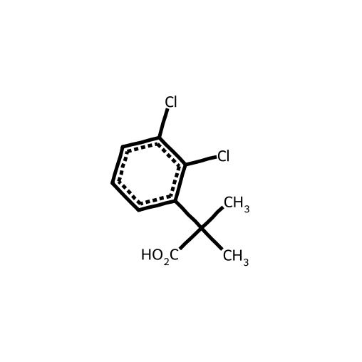 CC(C)(C(=O)O)c1cccc(Cl)c1Cl